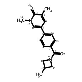 Cc1cc(-c2ccc(C(=O)N3CC(O)C3)cc2)cn(C)c1=O